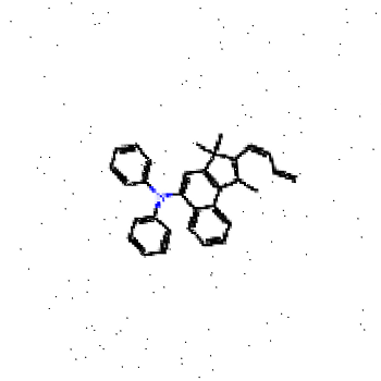 C=C/C=C\C1=C(C)c2c(cc(N(c3ccccc3)c3ccccc3)c3ccccc23)C1(C)C